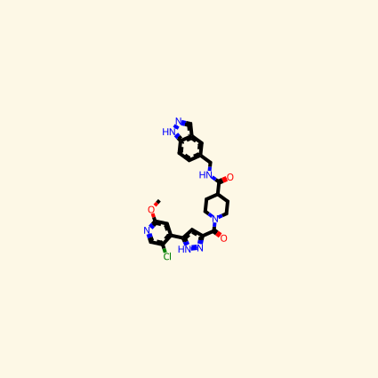 COc1cc(-c2cc(C(=O)N3CCC(C(=O)NCc4ccc5[nH]ncc5c4)CC3)n[nH]2)c(Cl)cn1